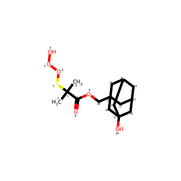 CC(C)(SOOO)C(=O)OCC12CC3CC(CC(O)(C3)C1)C2